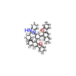 c1ccc(C2Nc3ccccc3N2c2cc(-c3c4ccccc4cc4c3oc3ccccc34)cc(-c3c4ccccc4cc4c3oc3ccccc34)c2)cc1